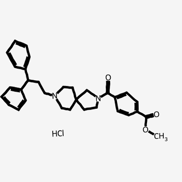 COC(=O)c1ccc(C(=O)N2CCC3(CCN(CCC(c4ccccc4)c4ccccc4)CC3)C2)cc1.Cl